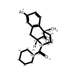 CC(=O)c1ccc2c(c1)C[C@H]1N(C(=O)N3CCCCC3)CC[C@]2(C)C1(C)C